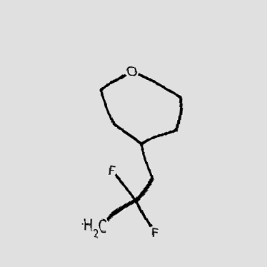 [CH2]C(F)(F)CC1CCOCC1